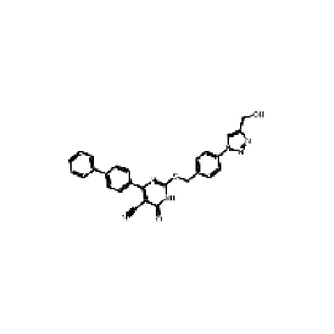 N#Cc1c(-c2ccc(-c3ccccc3)cc2)nc(SCc2ccc(-n3cc(CO)nn3)cc2)[nH]c1=O